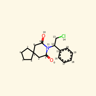 O=C1CC2(CCCC2)CC(=O)N1C(CCl)c1ccccc1